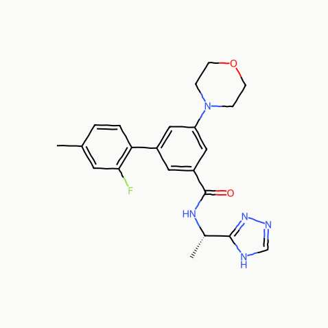 Cc1ccc(-c2cc(C(=O)N[C@@H](C)c3nnc[nH]3)cc(N3CCOCC3)c2)c(F)c1